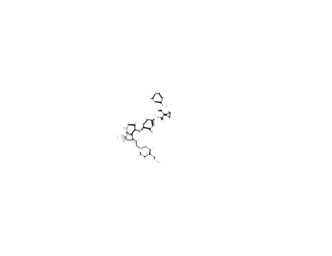 O=C(Nc1ccc(F)cc1)C1(C(=O)Nc2ccc(Oc3ccnc4c3C(CCN3CCC(CO)CC3)NN4)c(F)c2)CC1